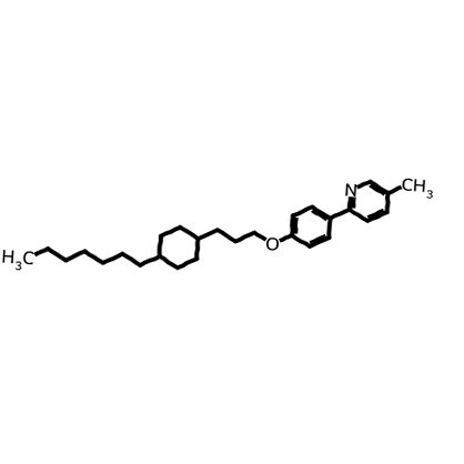 CCCCCCCC1CCC(CCCOc2ccc(-c3ccc(C)cn3)cc2)CC1